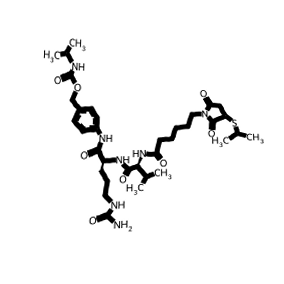 CC(C)NC(=O)OCc1ccc(NC(=O)[C@H](CCCNC(N)=O)NC(=O)[C@@H](NC(=O)CCCCCN2C(=O)CC(SC(C)C)C2=O)C(C)C)cc1